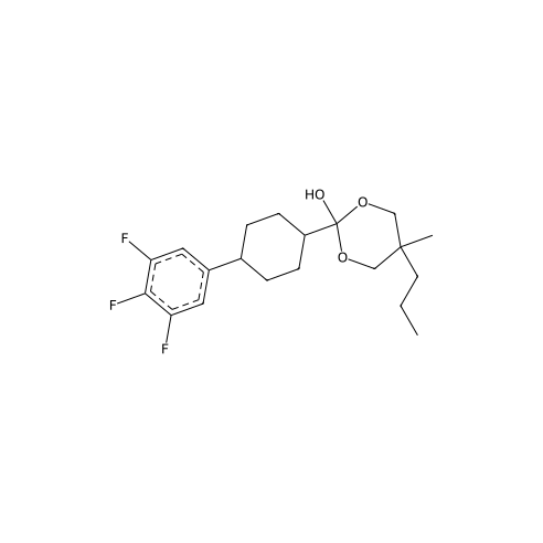 CCCC1(C)COC(O)(C2CCC(c3cc(F)c(F)c(F)c3)CC2)OC1